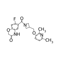 Cc1ccc(OCC2CN(C(=O)c3cc4c(cc3F)OCC(=O)N4)C2)c(C)n1